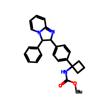 CC(C)(C)OC(=O)NC1(c2ccc(C3N=C4C=CC=CN4C3c3ccccc3)cc2)CCC1